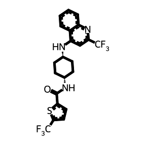 O=C(N[C@H]1CC[C@@H](Nc2cc(C(F)(F)F)nc3ccccc23)CC1)c1ccc(C(F)(F)F)s1